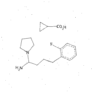 NC(CCCc1ccccc1F)N1CCCC1.O=C(O)C1CC1